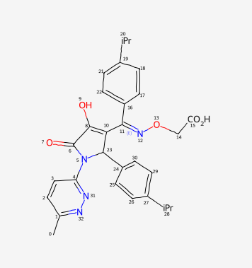 Cc1ccc(N2C(=O)C(O)=C(/C(=N/OCC(=O)O)c3ccc(C(C)C)cc3)C2c2ccc(C(C)C)cc2)nn1